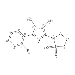 O=S1(=O)CCCN1c1oc(-c2ccccc2F)c(O)c1O